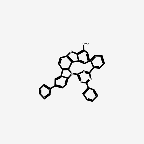 COc1cccc2c1sc1ccc3c4cc(-c5ccccc5)ccc4n(-c4nc(-c5ccccc5)nc(-c5ccccc5)n4)c3c12